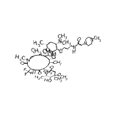 CO[C@]1(C)C[C@H](O[C@H]2[C@H](C)[C@@H](O[C@@H]3O[C@H](C)C[C@H](N(C)C)[C@H]3OCCCNC(=O)CN3CCN(C)CC3)[C@](C)(O)C[C@@H](C)CN(C)C(=O)C[C@H](C(F)(F)F)NC(=O)[C@@H]2C)O[C@@H](C)[C@@H]1O